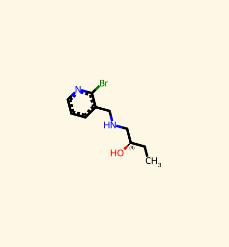 CC[C@@H](O)CNCc1cccnc1Br